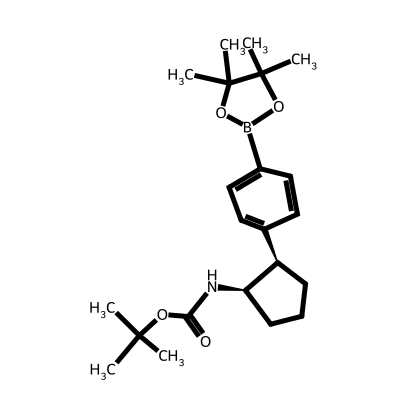 CC(C)(C)OC(=O)N[C@@H]1CCC[C@@H]1c1ccc(B2OC(C)(C)C(C)(C)O2)cc1